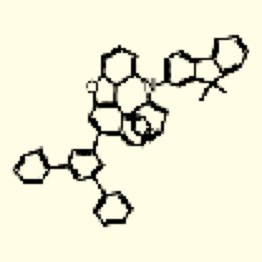 CC1(C)c2ccccc2-c2ccc(N(C3=CC=CC4Oc5cc(-c6cc(-c7ccccc7)cc(-c7ccccc7)c6)c6ccccc6c5C34)c3ccccc3)cc21